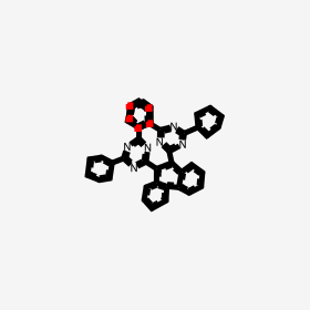 c1ccc(-c2nc(-c3ccccc3)nc(-c3c(-c4nc(-c5ccccc5)nc(-c5ccccc5)n4)c4ccccc4c4ccccc34)n2)cc1